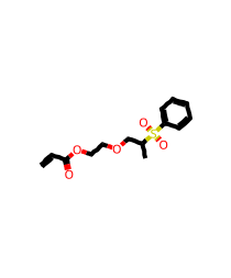 C=CC(=O)OCCOCC(C)S(=O)(=O)c1ccccc1